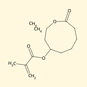 C.C.C=C(C)C(=O)O[C]1CCCCC(=O)OCC1